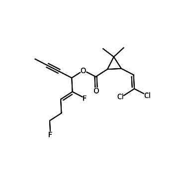 CC#CC(OC(=O)C1C(C=C(Cl)Cl)C1(C)C)C(F)=CCCF